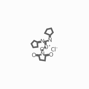 O=C1CCC(=O)N1O[O+]=C(N=C1CCCC1)N=C1CCCC1.[Cl-]